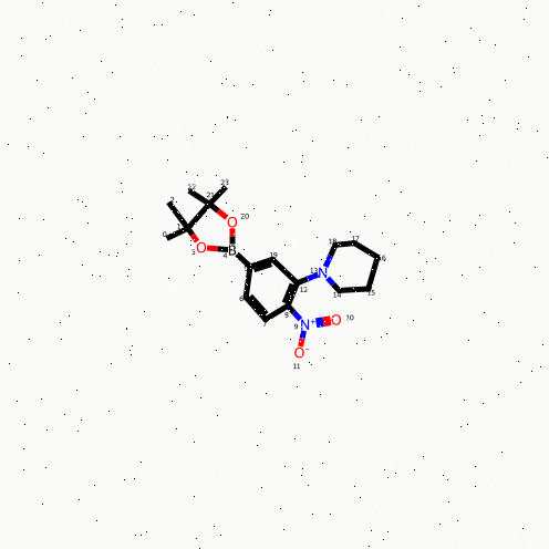 CC1(C)OB(c2ccc([N+](=O)[O-])c(N3CCCCC3)c2)OC1(C)C